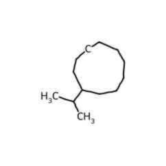 CC(C)C1CCCCCCCCC1